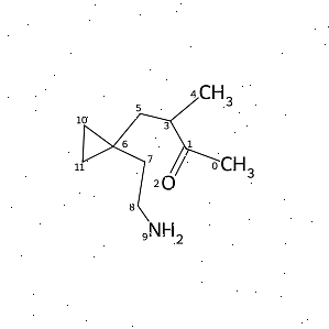 CC(=O)C(C)CC1(CCN)CC1